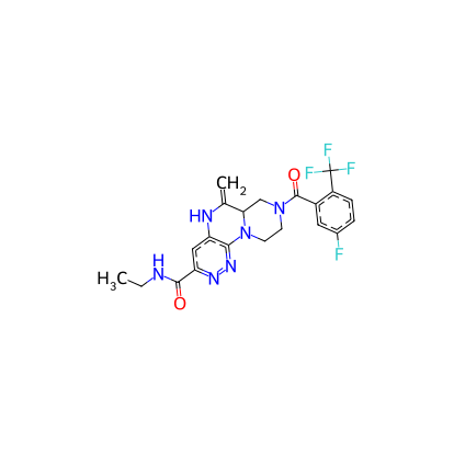 C=C1Nc2cc(C(=O)NCC)nnc2N2CCN(C(=O)c3cc(F)ccc3C(F)(F)F)CC12